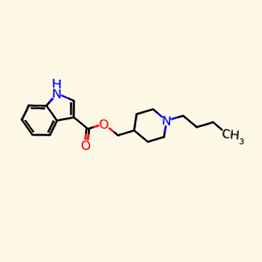 CCCCN1CCC(COC(=O)c2c[nH]c3ccccc23)CC1